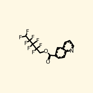 O=C(OCC(F)(F)C(F)(F)C(F)(F)C(F)F)c1ccc2ncccc2c1